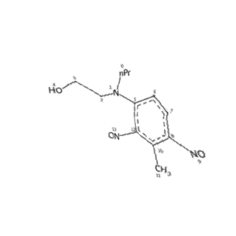 CCCN(CCO)c1ccc(N=O)c(C)c1N=O